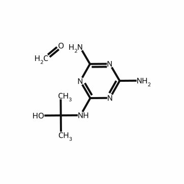 C=O.CC(C)(O)Nc1nc(N)nc(N)n1